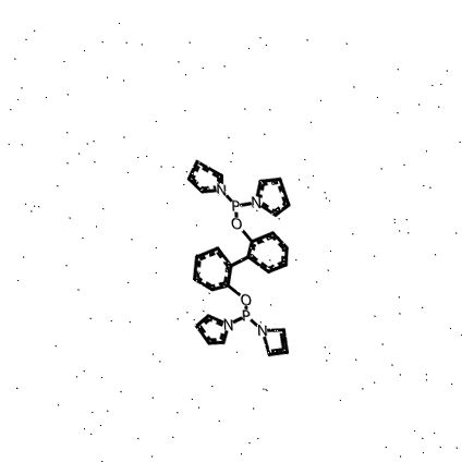 C1=CN(P(Oc2ccccc2-c2ccccc2OP(n2cccc2)n2cccc2)n2cccc2)C=1